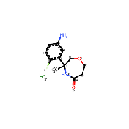 CC1(c2cc(N)ccc2F)COCCC(=O)N1.Cl